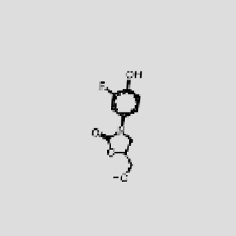 O=C1O[C@H](CO)CN1c1ccc(O)c(F)c1